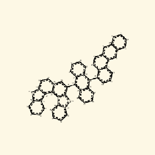 c1ccc2cc3c(ccc4c(-c5c6ccccc6c(-c6cc7ccc8sc9ccccc9c8c7c7c6sc6ccccc67)c6ccccc56)cccc43)cc2c1